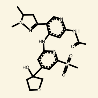 CC(=O)Nc1cc(Nc2cc(C3(O)CCOC3)cc(S(C)(=O)=O)n2)c(C2=NN(C)C(C)C2)cn1